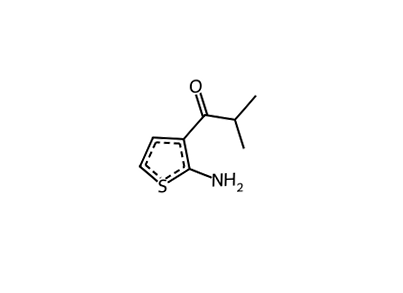 CC(C)C(=O)c1ccsc1N